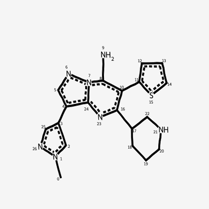 Cn1cc(-c2cnn3c(N)c(-c4cccs4)c(C4CCCNC4)nc23)cn1